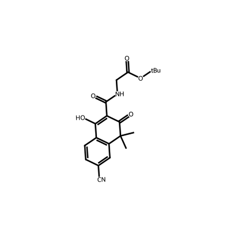 CC(C)(C)OC(=O)CNC(=O)C1=C(O)c2ccc(C#N)cc2C(C)(C)C1=O